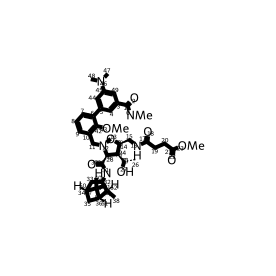 CNC(=O)c1cc(-c2cccc(CN3O[C@@H](CNC(=O)CCC(=O)OC)[C@@H]([C@H](C)O)[C@H]3C(=O)NC3C[C@H]4C[C@@H]([C@@H]3C)C4(C)C)c2OC)cc(N(C)C)c1